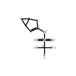 O=S(=O)(OC1=CC2CC2C1)C(F)(F)F